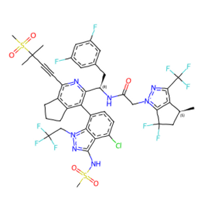 C[C@H]1CC(F)(F)c2c1c(C(F)(F)F)nn2CC(=O)N[C@H](Cc1cc(F)cc(F)c1)c1nc(C#CC(C)(C)S(C)(=O)=O)c2c(c1-c1ccc(Cl)c3c(NS(C)(=O)=O)nn(CC(F)(F)F)c13)CCC2